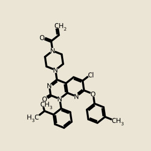 C=CC(=O)N1CCN(c2nc(=O)n(-c3ccccc3C(C)C)c3nc(Oc4cccc(C)c4)c(Cl)cc23)CC1